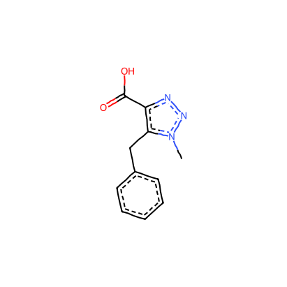 Cn1nnc(C(=O)O)c1Cc1ccccc1